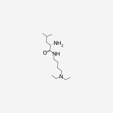 CCN(CC)CCCCNC(=O)[C@@H](N)CC(C)C